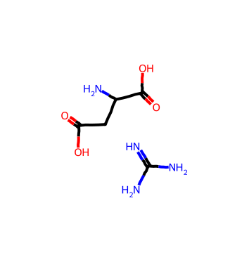 N=C(N)N.NC(CC(=O)O)C(=O)O